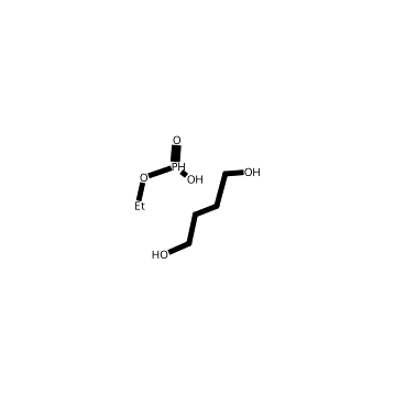 CCO[PH](=O)O.OCCCCO